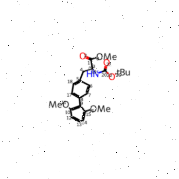 COC(=O)[C@H](Cc1ccc(-c2c(OC)cccc2OC)cc1)NC(=O)OC(C)(C)C